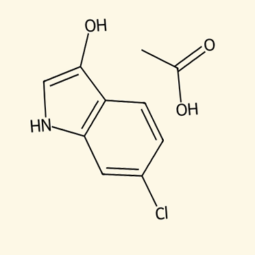 CC(=O)O.Oc1c[nH]c2cc(Cl)ccc12